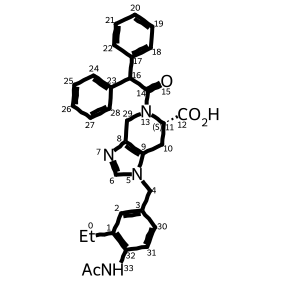 CCc1cc(Cn2cnc3c2C[C@@H](C(=O)O)N(C(=O)C(c2ccccc2)c2ccccc2)C3)ccc1NC(C)=O